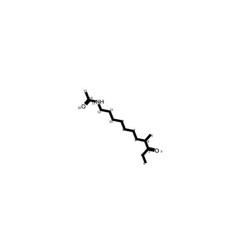 CCC(=O)C(C)CCCCCCCNC(C)=O